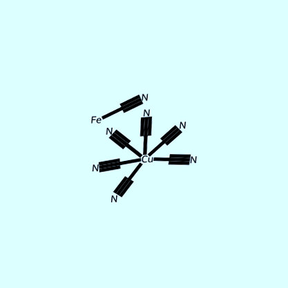 N#[C][Cu]([C]#N)([C]#N)([C]#N)([C]#N)[C]#N.N#[C][Fe]